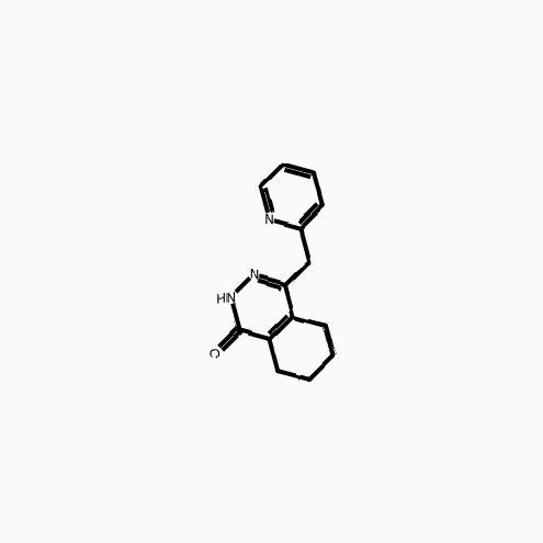 O=c1[nH]nc(Cc2ccccn2)c2c1CCCC2